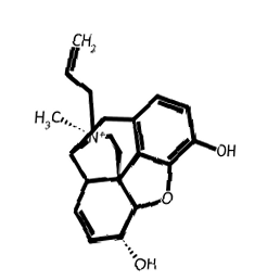 C=CC[N@@+]1(C)CC[C@@]23c4c5ccc(O)c4OC2[C@H](O)C=CC3C1C5